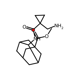 COC(=O)C12CC3CC(C1)C(NC(=O)C1(CN)CC1)C(C3)C2